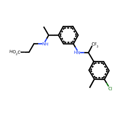 Cc1cc(C(Nc2cccc(C(C)NCCC(=O)O)c2)C(F)(F)F)ccc1Cl